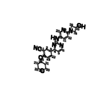 N#Cc1cc(-c2ccnc(Nc3ccc(N4CC(O)C4)nc3)n2)ccc1OC1CCOCC1